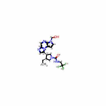 CC[C@@H]1CN(C(=O)NCC(F)(F)F)C[C@@H]1c1cnc2cnc3c(ccn3CO)n12